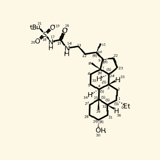 CC[C@H]1C[C@@H]2[C@H](CC[C@]3(C)[C@@H]([C@H](C)CCNC(=O)NS(=O)(=O)C(C)(C)C)CC[C@@H]23)[C@@]2(C)CC[C@@H](O)C[C@@H]12